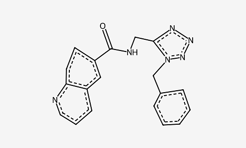 O=C(NCc1nnnn1Cc1ccccc1)c1ccc2ncccc2c1